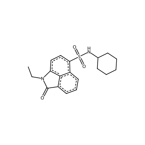 CCN1C(=O)c2cccc3c(S(=O)(=O)NC4CCCCC4)ccc1c23